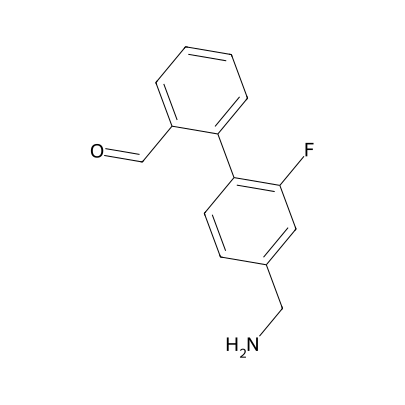 NCc1ccc(-c2ccccc2C=O)c(F)c1